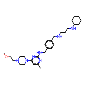 COCCN1CCN(c2cc(C)nc(NCc3ccc(CNCCCNC4CCCCC4)cc3)n2)CC1